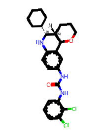 O=C(Nc1ccc2c(c1)C1OCCC[C@H]1[C@@H](C1CCCCC1)N2)Nc1cccc(Cl)c1Cl